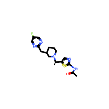 CC(=O)Nc1ncc([C@@H](C)N2CCCC(Cc3ncc(F)cn3)C2)s1